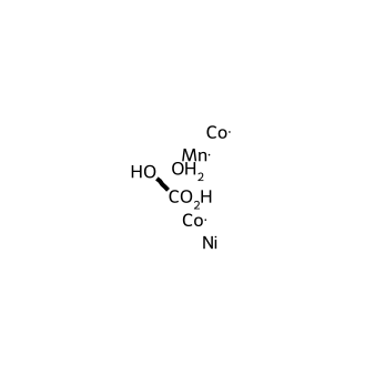 O.O=C(O)O.[Co].[Co].[Mn].[Ni]